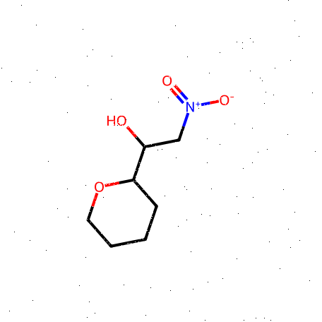 O=[N+]([O-])CC(O)C1CCCCO1